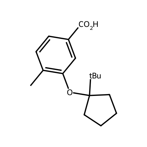 Cc1ccc(C(=O)O)cc1OC1(C(C)(C)C)CCCC1